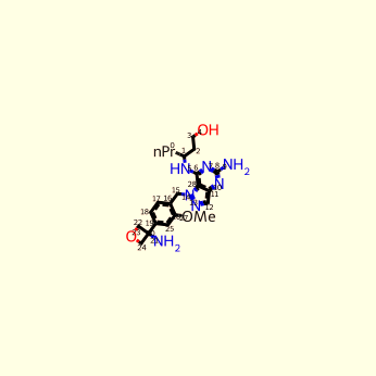 CCCC(CCO)Nc1nc(N)nc2cnn(Cc3ccc(C4(N)COC4)cc3OC)c12